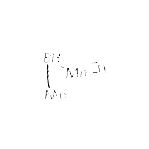 [BH2][Mo].[Mn].[Zn]